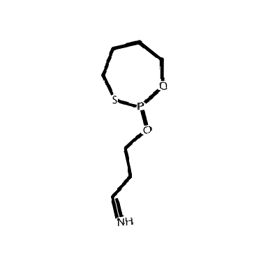 N=CCCOP1OCCCCS1